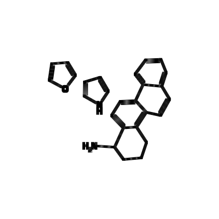 NC1CCCc2c1ccc1c2ccc2ccccc21.c1cc[nH]c1.c1ccoc1